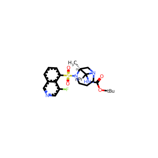 CCCC1(NC(=O)OC(C)(C)C)N2CCCN(S(=O)(=O)c3cccc4cncc(F)c34)[C@@]1(C)C2